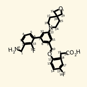 NCc1cccc(-c2cc(COc3ccc(F)cc3CC(=O)O)cc(N3CCC4(CC3)COC4)c2)c1F